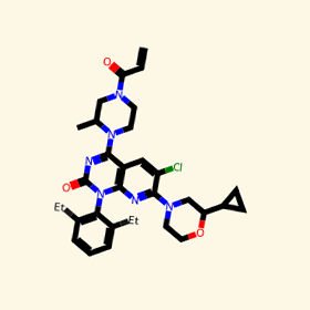 C=CC(=O)N1CCN(c2nc(=O)n(-c3c(CC)cccc3CC)c3nc(N4CCOC(C5CC5)C4)c(Cl)cc23)C(C)C1